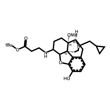 CO[C@@]12CCC(NCCC(=O)OC(C)(C)C)C3Oc4c(O)ccc5c4[C@@]31CCN(CC1CC1)[C@@H]2C5